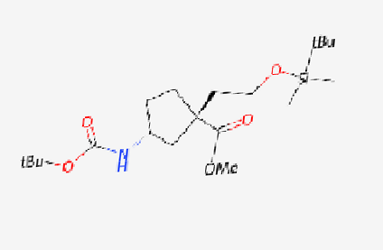 COC(=O)[C@@]1(CCO[Si](C)(C)C(C)(C)C)CC[C@@H](NC(=O)OC(C)(C)C)C1